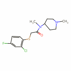 CN1CCC(N(C)C(=O)CSc2ccc(F)cc2Cl)CC1